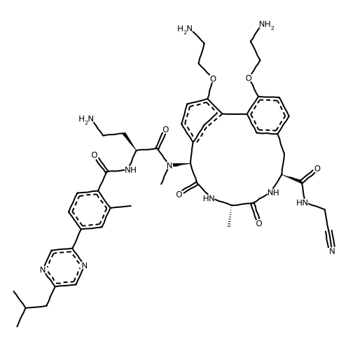 Cc1cc(-c2cnc(CC(C)C)cn2)ccc1C(=O)N[C@@H](CCN)C(=O)N(C)[C@@H]1C(=O)N[C@@H](C)C(=O)N[C@H](C(=O)NCC#N)Cc2ccc(OCCN)c(c2)-c2cc1ccc2OCCN